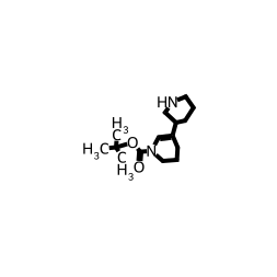 CC(C)(C)OC(=O)N1C=C(C2CCCNC2)CCC1